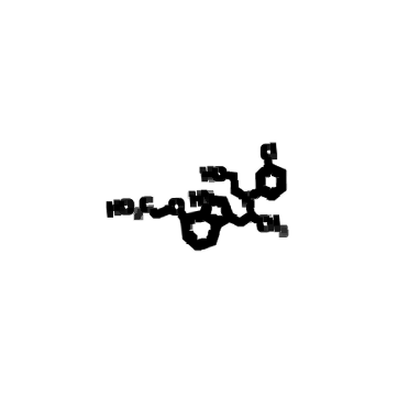 CC(Cc1c[nH]c2c(OCC(=O)O)cccc12)N(CCO)c1cccc(Cl)c1